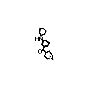 CN1CCC(C(=O)c2cccc(NC3CCCCC3)c2)CC1